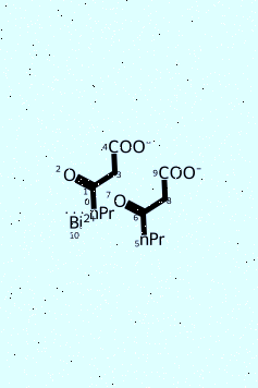 CCCC(=O)CC(=O)[O-].CCCC(=O)CC(=O)[O-].[Bi+2]